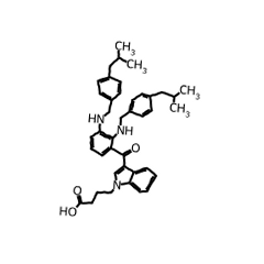 CC(C)Cc1ccc(CNc2cccc(C(=O)c3cn(CCCC(=O)O)c4ccccc34)c2NCc2ccc(CC(C)C)cc2)cc1